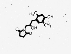 Cc1cc(CC(O)CN2C(=O)CCC2=O)c(C)cc1O